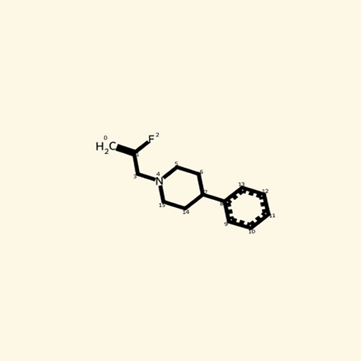 C=C(F)CN1CCC(c2ccccc2)CC1